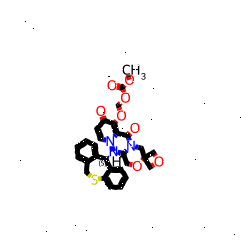 COC(=O)OCOc1c2n(ccc1=O)N([C@H]1c3ccccc3CSc3ccccc31)[C@@H]1COC3(COC3)CN1C2=O